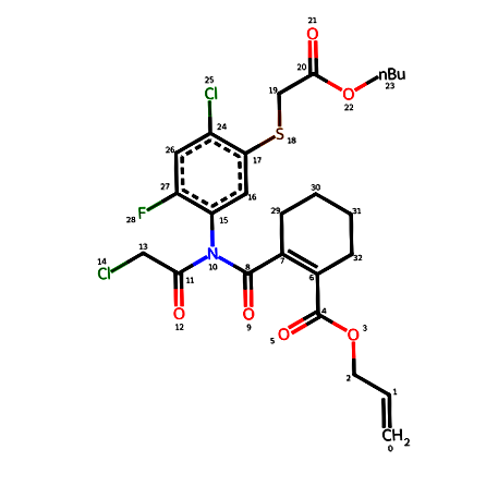 C=CCOC(=O)C1=C(C(=O)N(C(=O)CCl)c2cc(SCC(=O)OCCCC)c(Cl)cc2F)CCCC1